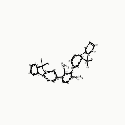 CC1(C)c2ccccc2-c2ccc(-c3ccc(N)c(-c4ccc5c(c4)C(C)(C)c4ccccc4-5)c3N)cc21